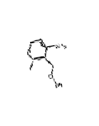 CCCOCc1c(C)cccc1N